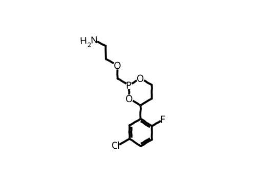 NCCOCP1OCCC(c2cc(Cl)ccc2F)O1